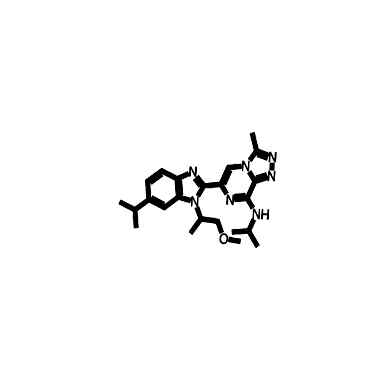 COCC(C)n1c(-c2cn3c(C)nnc3c(NC(C)C)n2)nc2ccc(C(C)C)cc21